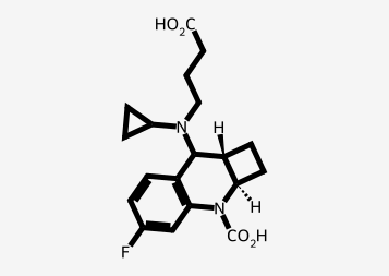 O=C(O)CCCN(C1CC1)C1c2ccc(F)cc2N(C(=O)O)[C@@H]2CC[C@@H]12